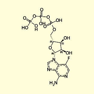 Nc1ncc(F)c2c1ncn2[C@@H]1O[C@H](COP(=O)(O)OP(=O)(O)OP(=O)(O)O)[C@@H](O)[C@H]1O